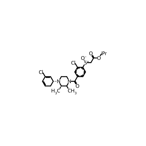 CC(C)OC(=O)C[S+]([O-])c1ccc(C(=O)N2CCN([C@H]3C=C(Cl)C=CC3)[C@H](C)C2C)cc1Cl